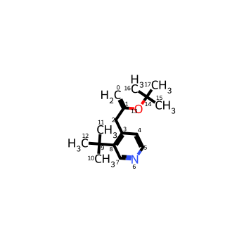 C=C(Cc1ccncc1C(C)(C)C)OC(C)(C)C